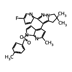 Cc1ccc(S(=O)(=O)n2ccc3c(-c4c(-c5ccc(F)cn5)nn5c4CC(C)(C)C5)cc(C)nc32)cc1